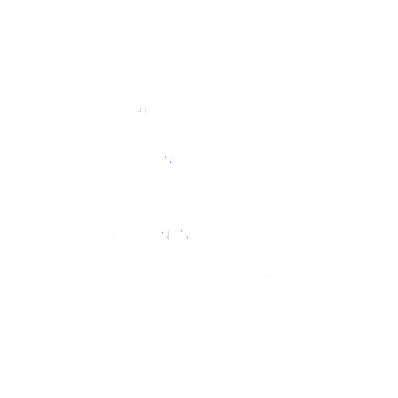 CC(C)(C)OC(=O)N1CCc2c(c(CCl)nn2-c2ccc(C3CCC3)cc2)C1